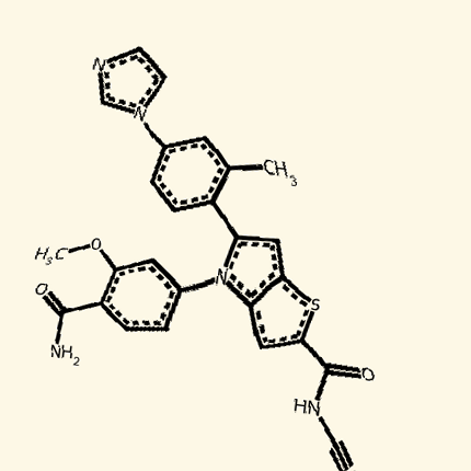 COc1cc(-n2c(-c3ccc(-n4ccnc4)cc3C)cc3sc(C(=O)NC#N)cc32)ccc1C(N)=O